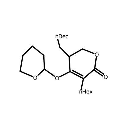 CCCCCCCCCCCC1COC(=O)C(CCCCCC)=C1OC1CCCCO1